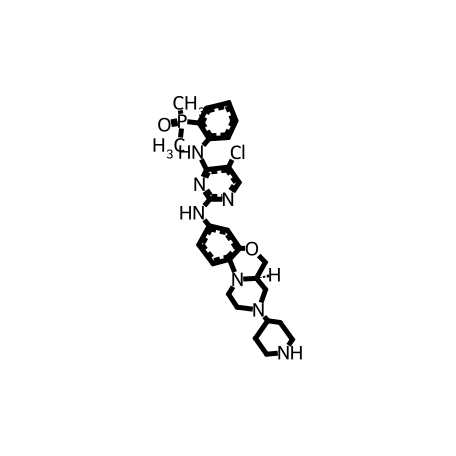 CP(C)(=O)c1ccccc1Nc1nc(Nc2ccc3c(c2)OC[C@H]2CN(C4CCNCC4)CCN32)ncc1Cl